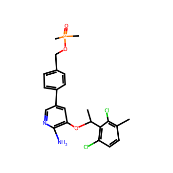 Cc1ccc(Cl)c(C(C)Oc2cc(-c3ccc(COP(C)(C)=O)cc3)cnc2N)c1Cl